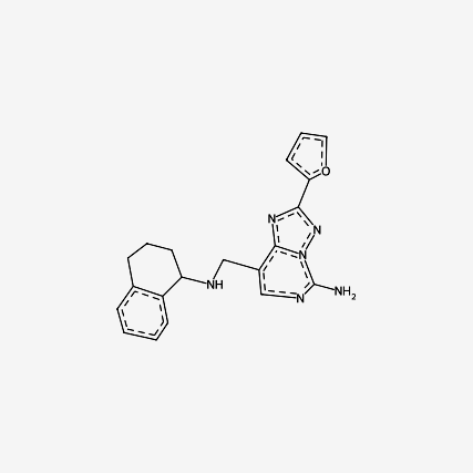 Nc1ncc(CNC2CCCc3ccccc32)c2nc(-c3ccco3)nn12